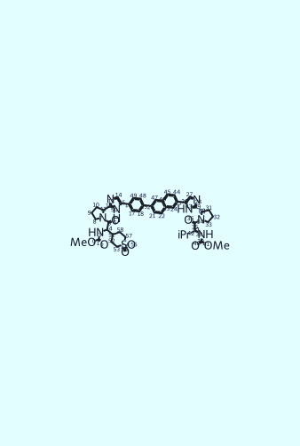 COC(=O)NC(C(=O)N1CCCC1c1ncc(-c2ccc(-c3ccc4cc(-c5cnc([C@@H]6CCCN6C(=O)[C@@H](NC(=O)OC)C(C)C)[nH]5)ccc4c3)cc2)[nH]1)C1CCS(=O)(=O)CC1